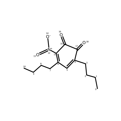 CCCCC1=CC(CCCC)=C([N+](=O)[O-])C(=O)C1=O